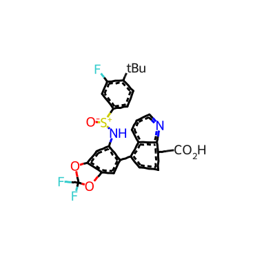 CC(C)(C)c1ccc([S+]([O-])Nc2cc3c(cc2-c2ccc(C(=O)O)c4ncccc24)OC(F)(F)O3)cc1F